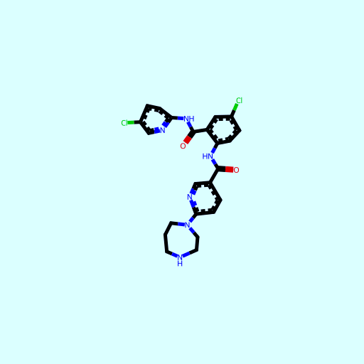 O=C(Nc1ccc(Cl)cc1C(=O)Nc1ccc(Cl)cn1)c1ccc(N2CCCNCC2)nc1